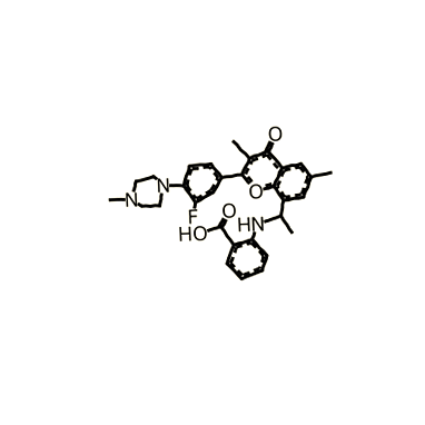 Cc1cc(C(C)Nc2ccccc2C(=O)O)c2oc(-c3ccc(N4CCN(C)CC4)c(F)c3)c(C)c(=O)c2c1